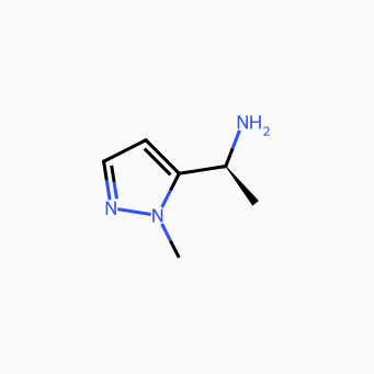 C[C@H](N)c1ccnn1C